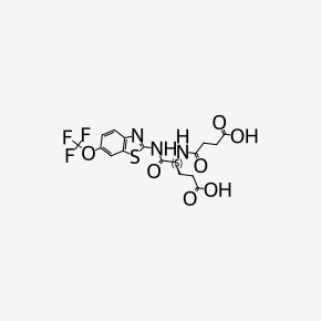 O=C(O)CCC(=O)N[C@@H](CCC(=O)O)C(=O)Nc1nc2ccc(OC(F)(F)F)cc2s1